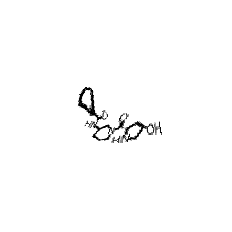 O=C(NC1CCCN(C(=O)[C@@H]2C[C@@H](O)CN2)C1)c1ccccc1